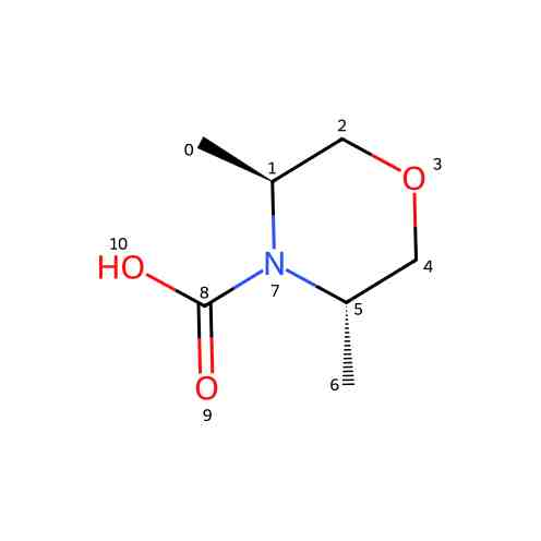 C[C@H]1COC[C@H](C)N1C(=O)O